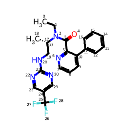 CCN(C(=O)c1ncccc1-c1ccccc1)[C@@H](C)CNc1ncc(C(F)(F)F)cn1